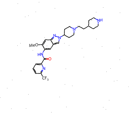 COc1cc2nn(C3CCN(CCC4CCNCC4)CC3)cc2cc1NC(=O)c1cccc(C(F)(F)F)n1